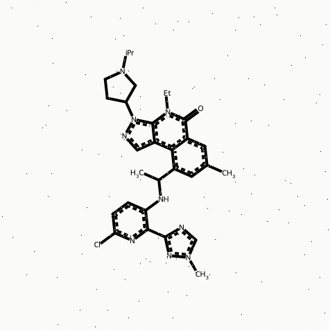 CCn1c(=O)c2cc(C)cc(C(C)Nc3ccc(Cl)nc3-c3ncn(C)n3)c2c2cnn(C3CCN(C(C)C)C3)c21